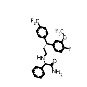 NC(=O)[C@@H](NCC[C@H](c1ccc(C(F)(F)F)cc1)c1ccc(F)c(OC(F)(F)F)c1)c1ccccc1